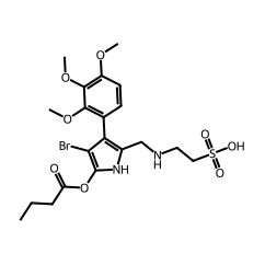 CCCC(=O)Oc1[nH]c(CNCCS(=O)(=O)O)c(-c2ccc(OC)c(OC)c2OC)c1Br